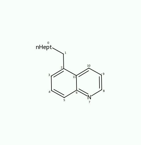 CCCCCCCCc1cccc2nc[c]cc12